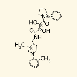 Cc1ccccc1N1CCC(CNC(=O)[C@H](O)[C@@H](O)C(=O)N2CCC[C@@H]2c2ccccc2)[C@@H](C)C1